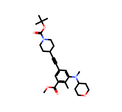 COC(=O)c1cc(C#CC2CCN(C(=O)OC(C)(C)C)CC2)cc(N(C)C2CCOCC2)c1C